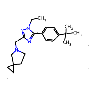 CCn1nc(CN2CCC3(CC3)C2)nc1-c1ccc(C(C)(C)C)cc1